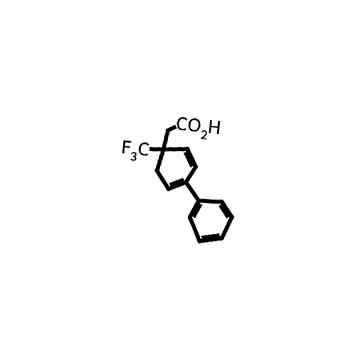 O=C(O)CC1(C(F)(F)F)C=CC(c2ccccc2)=CC1